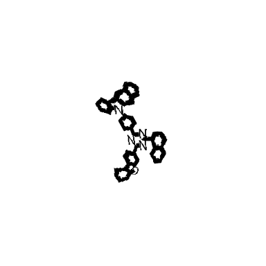 c1ccc2cc3c(cc2c1)c1ccccc1n3-c1ccc(-c2nc(-c3ccc4c(c3)oc3ccccc34)nc(-c3cccc4ccccc34)n2)cc1